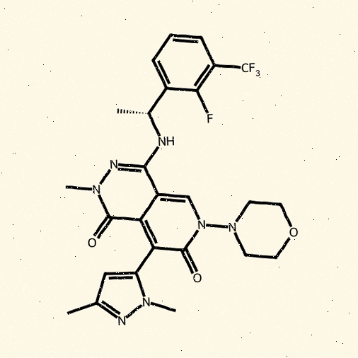 Cc1cc(-c2c(=O)n(N3CCOCC3)cc3c(N[C@H](C)c4cccc(C(F)(F)F)c4F)nn(C)c(=O)c23)n(C)n1